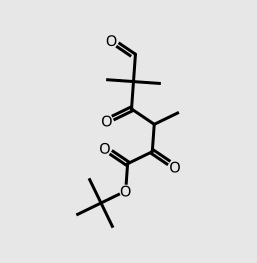 CC(C(=O)C(=O)OC(C)(C)C)C(=O)C(C)(C)C=O